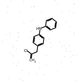 C=C(Cl)Cc1ccc(Nc2ccccc2)cc1